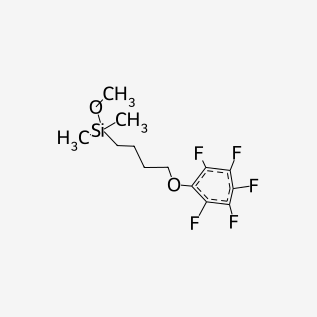 CO[Si](C)(C)CCCCOc1c(F)c(F)c(F)c(F)c1F